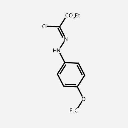 CCOC(=O)C(Cl)=NNc1ccc(OC(F)(F)F)cc1